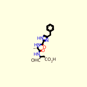 C[C@H](NC(=O)c1nc(Cc2ccccc2)c[nH]1)C(=O)N[C@H](C=O)CC(=O)O